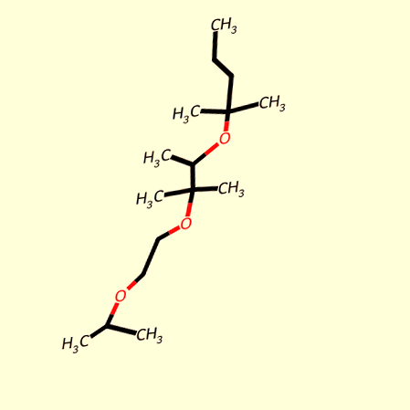 CCCC(C)(C)OC(C)C(C)(C)OCCOC(C)C